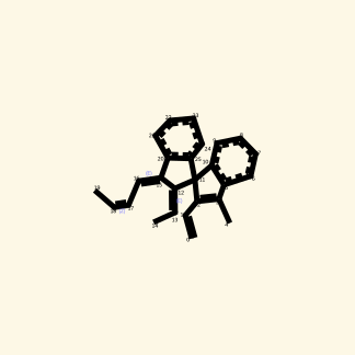 C=CC1=C(C)c2ccccc2C12C(=C/C)/C(=C\C=C/C)c1ccccc12